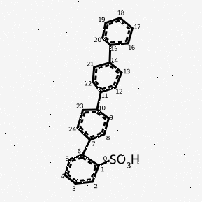 O=S(=O)(O)c1ccccc1-c1ccc(-c2ccc(-c3ccccc3)cc2)cc1